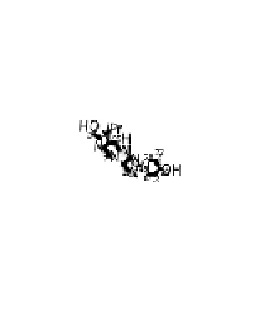 CC(C)n1c(CO)nc2cnc(Nc3ccnc(N4CC[C@H](O)[C@@H](C)C4)n3)cc21